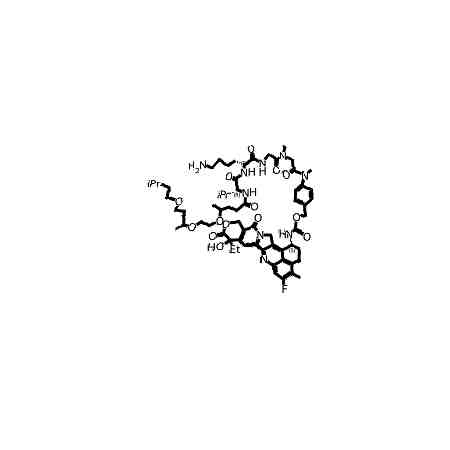 CC[C@@]1(O)C(=O)OCc2c1cc1n(c2=O)Cc2c-1nc1cc(F)c(C)c3c1c2[C@@H](NC(=O)OCc1ccc(N(C)C(=O)CN(C)C(=O)CNC(=O)[C@@H](CCCCN)NC(=O)[C@H](NC(=O)CCC(C)OCCOC(C)CCOCCC(C)C)C(C)C)cc1)CC3